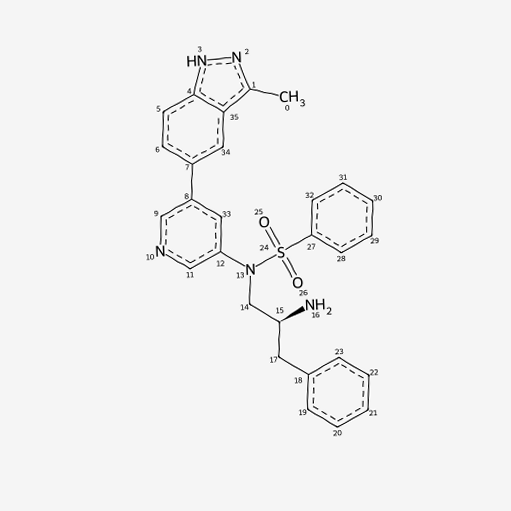 Cc1n[nH]c2ccc(-c3cncc(N(C[C@@H](N)Cc4ccccc4)S(=O)(=O)c4ccccc4)c3)cc12